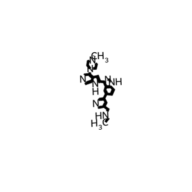 CCNCc1cncc(-c2ccc3[nH]nc(-c4cc5c(N6CCN(C)CC6)cncc5[nH]4)c3c2)c1